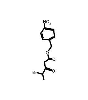 CC(Br)C(=O)CC(=O)OCc1ccc([N+](=O)[O-])cc1